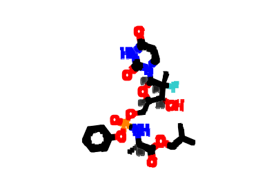 CC(C)COC(=O)[C@H](C)NP(=O)(OC[C@H]1O[C@@H](n2ccc(=O)[nH]c2=O)[C@](C)(F)[C@@H]1O)Oc1ccccc1